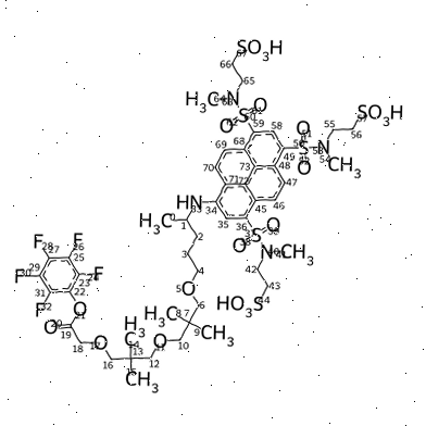 CC(CCCOCC(C)(C)COCC(C)(C)COCC(=O)Oc1c(F)c(F)c(F)c(F)c1F)Nc1cc(S(=O)(=O)N(C)CCS(=O)(=O)O)c2ccc3c(S(=O)(=O)N(C)CCS(=O)(=O)O)cc(S(=O)(=O)N(C)CCS(=O)(=O)O)c4ccc1c2c43